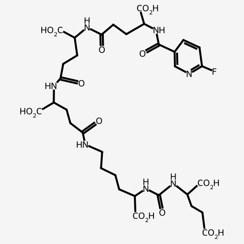 O=C(O)CCC(NC(=O)NC(CCCCNC(=O)CCC(NC(=O)CCC(NC(=O)CCC(NC(=O)c1ccc(F)nc1)C(=O)O)C(=O)O)C(=O)O)C(=O)O)C(=O)O